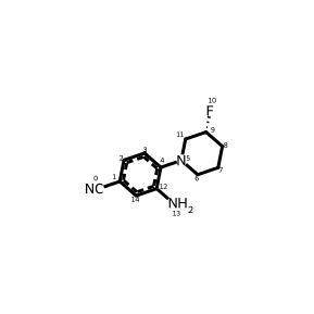 N#Cc1ccc(N2CCC[C@@H](F)C2)c(N)c1